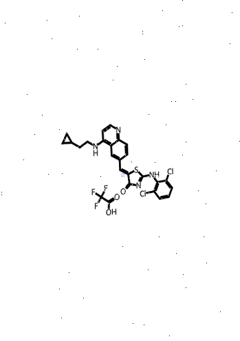 O=C(O)C(F)(F)F.O=C1N=C(Nc2c(Cl)cccc2Cl)S/C1=C\c1ccc2nccc(NCCC3CC3)c2c1